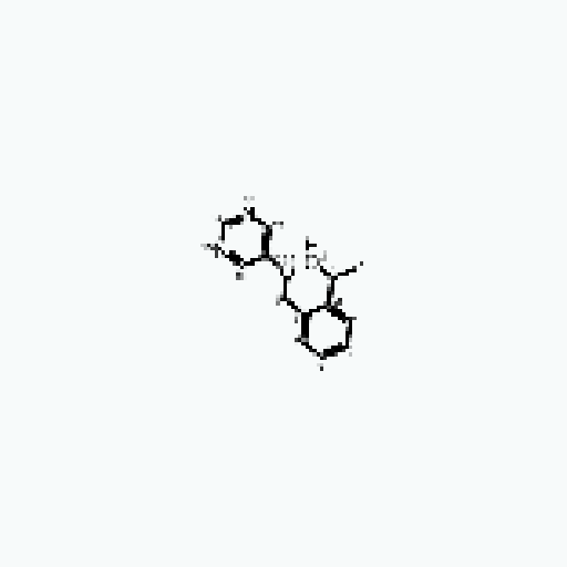 CC(O)c1ccccc1COc1cncnc1